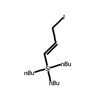 CCCC[Si](C=CCI)(CCCC)CCCC